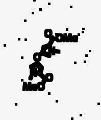 COC(=O)c1cc(Oc2cc(C(=O)OC)n(C)c2)cn1C